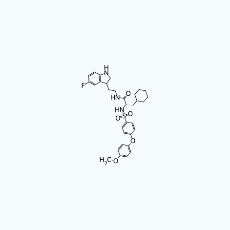 COc1ccc(Oc2ccc(S(=O)(=O)N[C@@H](CC3CCCCC3)C(=O)NCCC3CNc4ccc(F)cc43)cc2)cc1